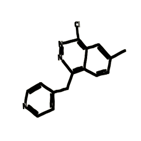 Cc1ccc2c(Cc3ccncc3)nnc(Cl)c2c1